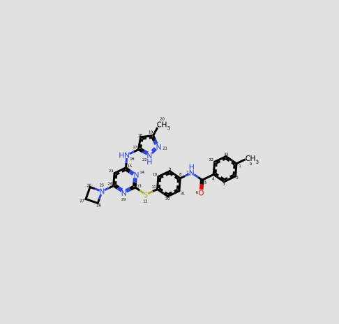 Cc1ccc(C(=O)Nc2ccc(Sc3nc(Nc4cc(C)n[nH]4)cc(N4CCC4)n3)cc2)cc1